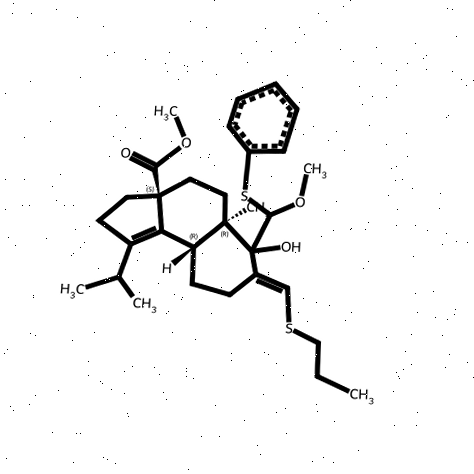 CCCSC=C1CC[C@@H]2C3=C(C(C)C)CC[C@]3(C(=O)OC)CC[C@@]2(C)C1(O)C(OC)Sc1ccccc1